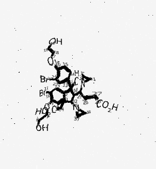 CC(c1ccc(OCCO)c(Br)c1)(c1ccc(OCCO)c(Br)c1)C(C(CCC(=O)O)N1CC1)C(CCC(=O)O)N1CC1